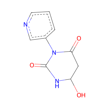 O=C1CC(O)NC(=O)N1c1cccnc1